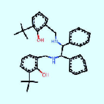 CC(C)(C)c1cccc(CNC(c2ccccc2)[C@@H](NCc2cccc(C(C)(C)C)c2O)c2ccccc2)c1O